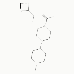 CCC(=O)N1CCN(C2CCN(C)CC2)C[C@@H]1OCC1CCN1